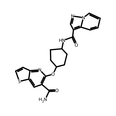 NC(=O)c1cc2sccc2nc1OC1CCC(NC(=O)c2cnn3ccccc23)CC1